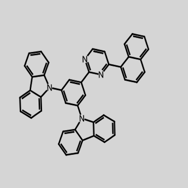 c1ccc2c(-c3ccnc(-c4cc(-n5c6ccccc6c6ccccc65)cc(-n5c6ccccc6c6ccccc65)c4)n3)cccc2c1